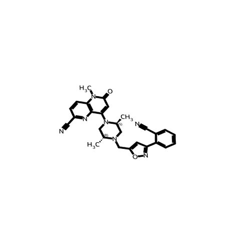 C[C@@H]1CN(c2cc(=O)n(C)c3ccc(C#N)nc23)[C@@H](C)CN1Cc1cc(-c2ccccc2C#N)no1